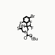 CC(C)(C)OC(=O)N1CC(=S)NC(c2cc(Br)ccc2F)(C(F)F)C1